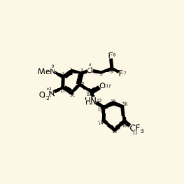 CNc1cc(OCC(F)F)c(C(=O)NC2CCC(C(F)(F)F)CC2)cc1[N+](=O)[O-]